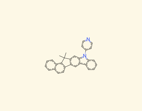 CC1(C)c2cc3c(cc2-c2ccc4ccccc4c21)c1ccccc1n3-c1ccncc1